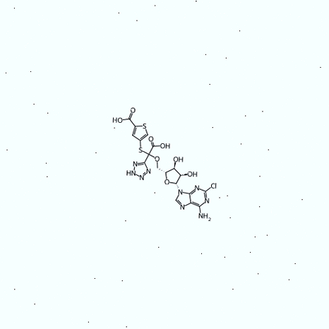 Nc1nc(Cl)nc2c1ncn2[C@@H]1O[C@H](COC(Sc2csc(C(=O)O)c2)(C(=O)O)c2nn[nH]n2)[C@@H](O)[C@H]1O